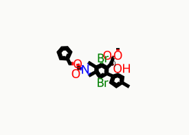 COC(=O)[C@@H](O)c1c(Br)c2c(c(Br)c1-c1ccc(C)cc1)CN(C(=O)OCc1ccccc1)C2